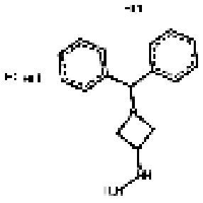 Cl.Cl.Cl.NNC1CN(C(c2ccccc2)c2ccccc2)C1